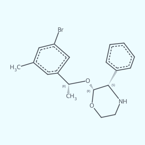 Cc1cc(Br)cc([C@@H](C)O[C@H]2OCCN[C@H]2c2ccccc2)c1